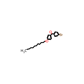 CCCCCCCCCCCCOc1ccc(C(=O)c2ccc(Br)cc2)cc1